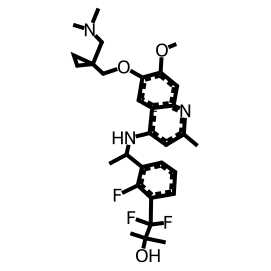 COc1cc2nc(C)cc(NC(C)c3cccc(C(F)(F)C(C)(C)O)c3F)c2cc1OCC1(CN(C)C)CC1